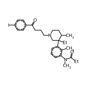 CCC(=O)N(C)c1cccc(C2(CC)CN(CCCC(=O)c3ccc(I)cc3)CCC2C)c1C